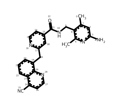 Cc1cc(N)nc(C)c1CNC(=O)c1ccnc(Cc2cccc3c(C#N)ccnc23)c1